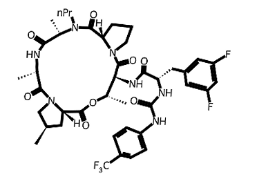 CCCN1C(=O)[C@@H]2CCCN2C(=O)[C@@H](NC(=O)[C@H](Cc2cc(F)cc(F)c2)NC(=O)Nc2ccc(C(F)(F)F)cc2)[C@H](C)OC(=O)[C@@H]2C[C@@H](C)CN2C(=O)[C@H](C)NC(=O)[C@@H]1C